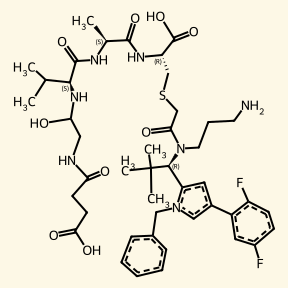 CC(C)[C@H](NC(O)CNC(=O)CCC(=O)O)C(=O)N[C@@H](C)C(=O)N[C@@H](CSCC(=O)N(CCCN)[C@@H](c1cc(-c2cc(F)ccc2F)cn1Cc1ccccc1)C(C)(C)C)C(=O)O